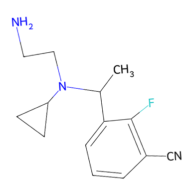 CC(c1cccc(C#N)c1F)N(CCN)C1CC1